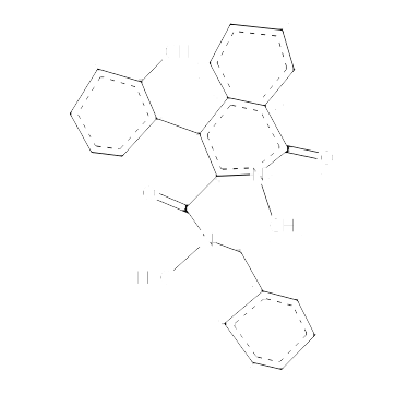 Cc1ccccc1-c1c(C(=O)N(C)Cc2ccccc2)n(C)c(=O)c2ccccc12